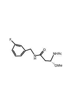 CO[C@H](CC(=O)NCc1cccc(F)c1)NC(C)=O